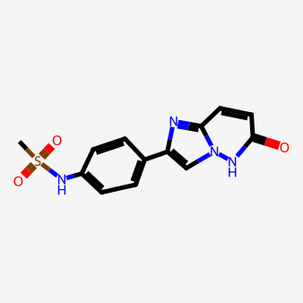 CS(=O)(=O)Nc1ccc(-c2cn3[nH]c(=O)ccc3n2)cc1